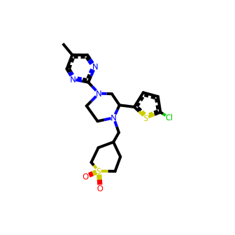 Cc1cnc(N2CCN(CC3CCS(=O)(=O)CC3)C(c3ccc(Cl)s3)C2)nc1